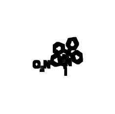 O=[N+]([O-])c1ccc2c(c1)c(I)nn2C(c1ccccc1)(c1ccccc1)c1ccccc1